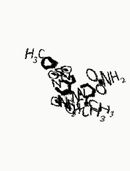 Cc1ccc(S(=O)(=O)n2ccc3c(NN4CCC(OC(N)=O)CC4C(C)(C)C)c([N+](=O)[O-])cnc32)cc1